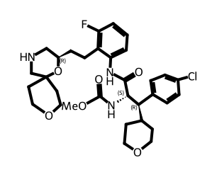 COC(=O)N[C@H](C(=O)Nc1cccc(F)c1CC[C@@H]1CNCC2(CCOCC2)O1)[C@@H](c1ccc(Cl)cc1)C1CCOCC1